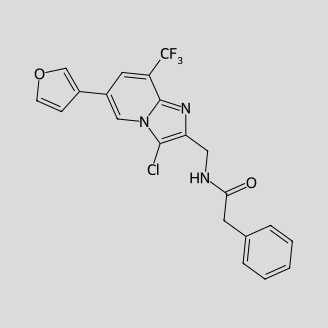 O=C(Cc1ccccc1)NCc1nc2c(C(F)(F)F)cc(-c3ccoc3)cn2c1Cl